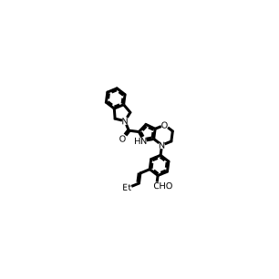 CC/C=C/c1cc(N2CCOc3cc(C(=O)N4Cc5ccccc5C4)[nH]c32)ccc1C=O